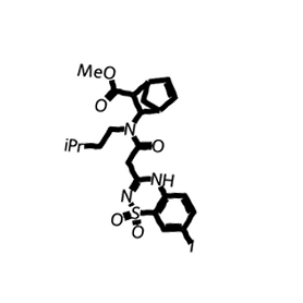 COC(=O)C1C2C=CC(C2)C1N(CCC(C)C)C(=O)CC1=NS(=O)(=O)c2cc(I)ccc2N1